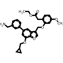 CCOC(=O)Cc1ccc(OC)cc1OCc1coc2c(OCC3CC3)cc(-c3cccc(CN)c3)cc12